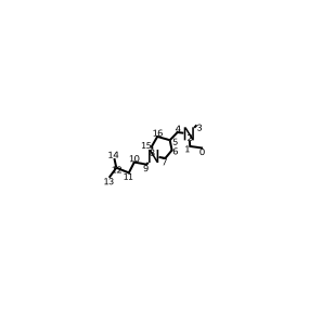 CCN(C)CC1CCN(CCCC(C)C)CC1